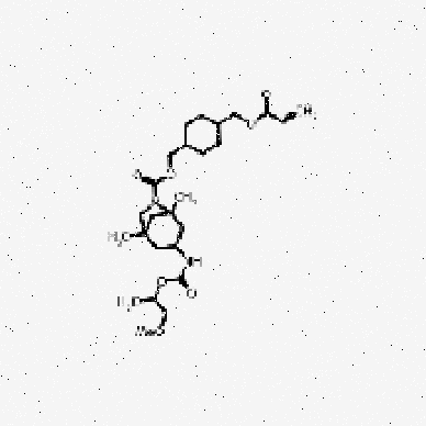 C=CC(=O)OCC1CCC(COC(=O)N2CC3(C)CC(NC(=O)OC(C)COC)CC2(C)C3)CC1